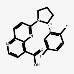 O=C(O)c1ccnc2ccc(N3CCC[C@@H]3c3cc(F)ccc3F)nc12